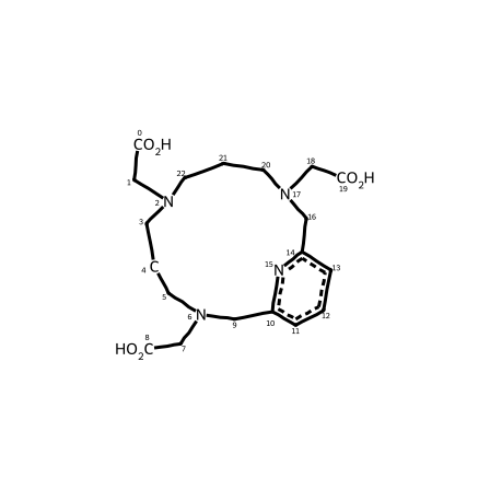 O=C(O)CN1CCCN(CC(=O)O)Cc2cccc(n2)CN(CC(=O)O)CCC1